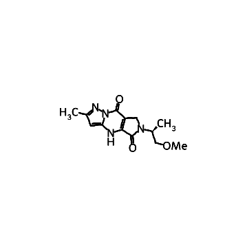 COC[C@H](C)N1Cc2c([nH]c3cc(C)nn3c2=O)C1=O